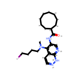 CN(CCCCI)c1c(NC(=O)C2CCCCCCCC2)cnc2c1C=C=NN2